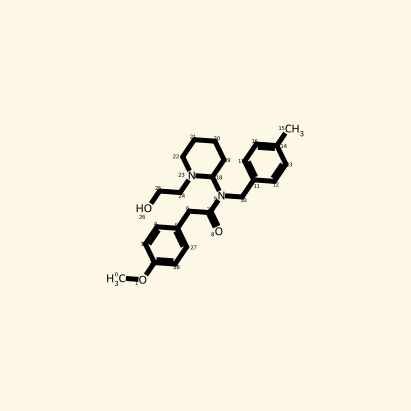 COc1ccc(CC(=O)N(Cc2ccc(C)cc2)C2CCCCN2CCO)cc1